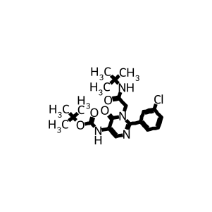 CC(C)(C)NC(=O)Cn1c(-c2cccc(Cl)c2)ncc(NC(=O)OC(C)(C)C)c1=O